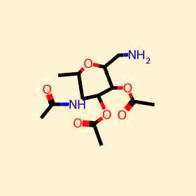 CC(=O)NC1C(C)OC(CN)C(OC(C)=O)C1OC(C)=O